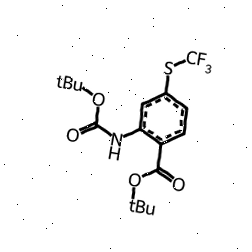 CC(C)(C)OC(=O)Nc1cc(SC(F)(F)F)ccc1C(=O)OC(C)(C)C